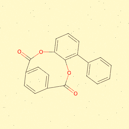 O=c1oc2cccc(-c3ccccc3)c2oc(=O)c2ccc1cc2